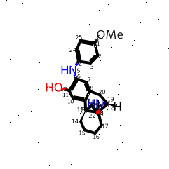 COc1ccc(Nc2cc3c(cc2O)[C@@]24CCCC[C@H]2[C@@H](C3)NCC4)cc1